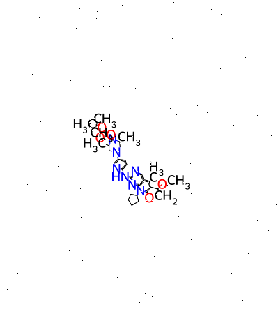 C=C(OCC)c1c(C)c2cnc(Nc3ccc(N4CC(C)N(OC(=O)OC(C)(C)C)C(C)C4)cn3)nc2n(C2CCCC2)c1=O